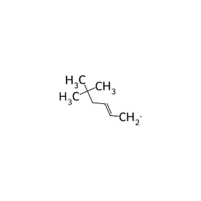 [CH2]C=CCC(C)(C)C